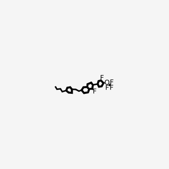 CCCCc1ccc(CCc2ccc3c(F)c(-c4ccc(OC(F)(F)F)c(F)c4)ccc3c2)cc1